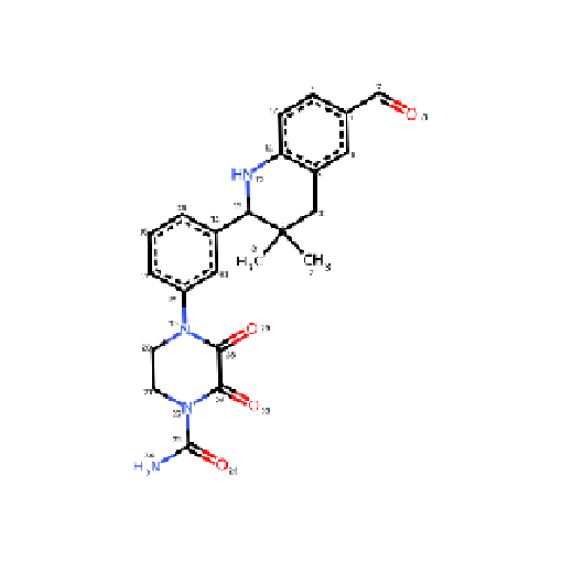 CC1(C)Cc2cc([C]=O)ccc2NC1c1cccc(N2CCN(C(N)=O)C(=O)C2=O)c1